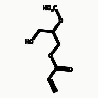 C=CC(=O)OCC(CO)OC(=O)O